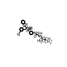 CC(C)(C)OC(=O)NCCC(=O)Nc1cccc(S(=O)(=O)NC(Cc2cccc(C#N)c2)c2nc3ccccc3s2)c1